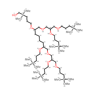 CO[Si](CO)(CCCOC(CCCCC(COCC(COCCC[Si](OC)(OC)OC)OCCC[Si](OC)(OC)OC)OCCC[Si](OC)(OC)OC)COCC(COCCC[Si](OC)(OC)OC)OCCC[Si](OC)(OC)OC)OC